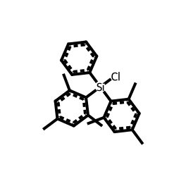 Cc1cc(C)c([Si](Cl)(c2ccccc2)c2c(C)cc(C)cc2C)c(C)c1